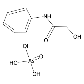 O=C(CO)Nc1ccccc1.O=[As](O)(O)O